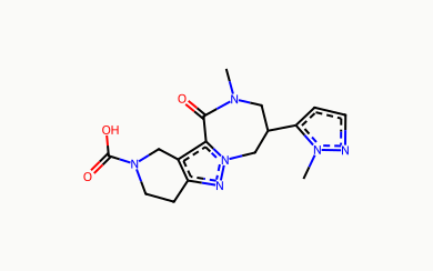 CN1CC(c2ccnn2C)Cn2nc3c(c2C1=O)CN(C(=O)O)CC3